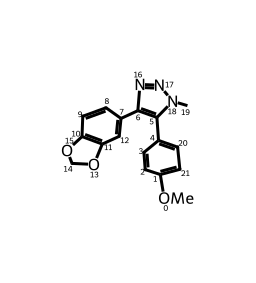 COc1ccc(-c2c(-c3ccc4c(c3)OCO4)nnn2C)cc1